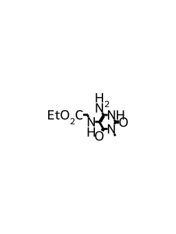 CCOC(=O)CNc1c(N)[nH]c(=O)n(C)c1=O